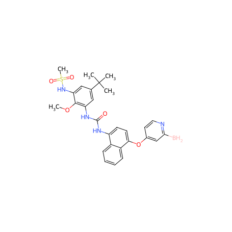 Bc1cc(Oc2ccc(NC(=O)Nc3cc(C(C)(C)C)cc(NS(C)(=O)=O)c3OC)c3ccccc23)ccn1